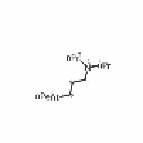 [CH2]CCN(CC[CH2])CCCCCCCC